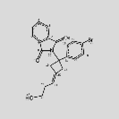 O=C1c2ccccc2C(=O)N1C1(c2ccc(Br)cc2)CC(=CCCO)C1